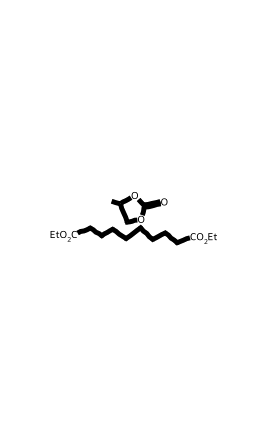 CC1COC(=O)O1.CCOC(=O)CCCCCCCCC(=O)OCC